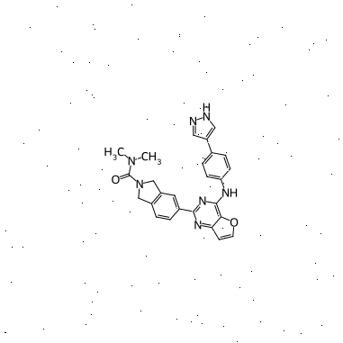 CN(C)C(=O)N1Cc2ccc(-c3nc(Nc4ccc(-c5cn[nH]c5)cc4)c4occc4n3)cc2C1